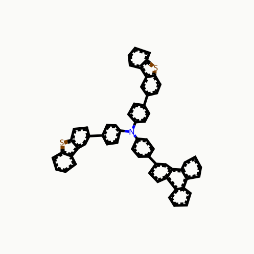 c1ccc2c(c1)sc1ccc(-c3ccc(N(c4ccc(-c5ccc6sc7ccccc7c6c5)cc4)c4ccc(-c5ccc6c7ccccc7c7ccccc7c6c5)cc4)cc3)cc12